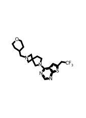 FC(F)(F)Cc1cc2c(N3CCC4(CN(CC5CCOCC5)C4)C3)ncnc2s1